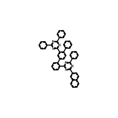 c1ccc(-c2nc(-c3ccc4ccccc4c3)nc(-c3ccccc3-c3ccc(-c4ccccc4)c(-c4nc(-c5ccccc5)nc(-c5ccccc5)n4)c3)n2)cc1